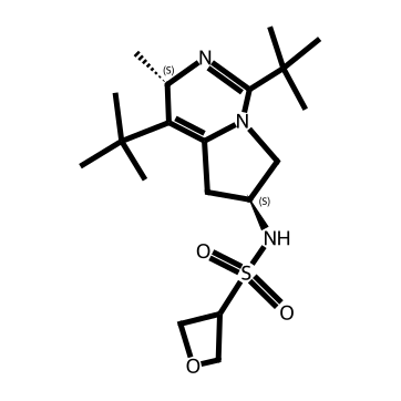 C[C@@H]1N=C(C(C)(C)C)N2C[C@@H](NS(=O)(=O)C3COC3)CC2=C1C(C)(C)C